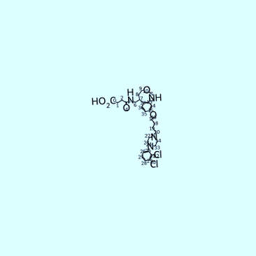 O=C(O)CCC(=O)NCC1CCOCNc2cc(OCCCCN3CCN(c4cccc(Cl)c4Cl)CC3)ccc21